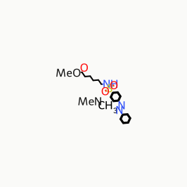 CNC.COC(=O)CCCCCNS(=O)(=O)c1ccc(N=Nc2ccccc2)cc1